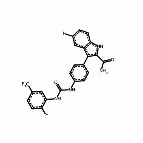 NC(=O)c1[nH]c2ccc(F)cc2c1-c1ccc(NC(=O)Nc2cc(C(F)(F)F)ccc2F)cc1